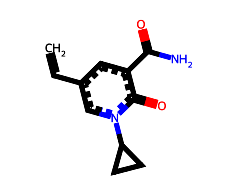 C=Cc1cc(C(N)=O)c(=O)n(C2CC2)c1